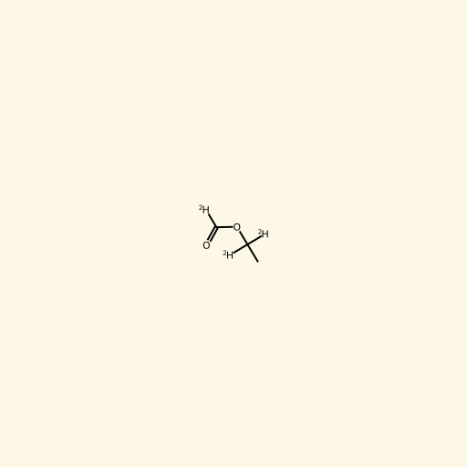 [2H]C(=O)OC([2H])([2H])C